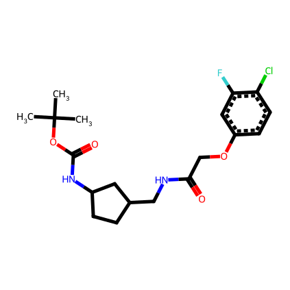 CC(C)(C)OC(=O)NC1CCC(CNC(=O)COc2ccc(Cl)c(F)c2)C1